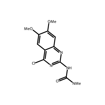 CNC(=O)Nc1nc(Cl)c2cc(OC)c(OC)cc2n1